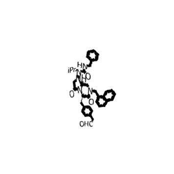 CC(C)N(C(=O)NCc1ccccc1)N1CC(=O)N2[C@@H](Cc3ccc(CC=O)cc3)C(=O)N(Cc3cccc4ccccc34)C[C@@H]21